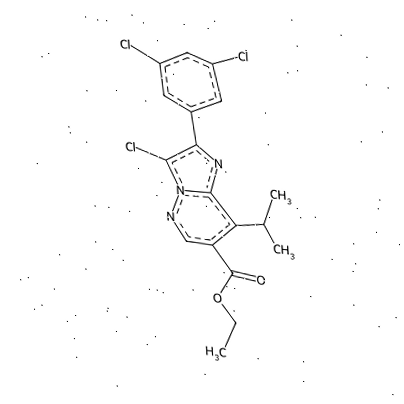 CCOC(=O)c1cnn2c(Cl)c(-c3cc(Cl)cc(Cl)c3)nc2c1C(C)C